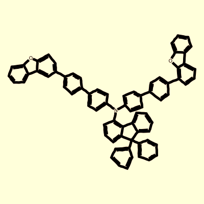 c1ccc(C2(c3ccccc3)c3ccccc3-c3c(N(c4ccc(-c5ccc(-c6ccc7oc8ccccc8c7c6)cc5)cc4)c4ccc(-c5ccc(-c6cccc7c6oc6ccccc67)cc5)cc4)cccc32)cc1